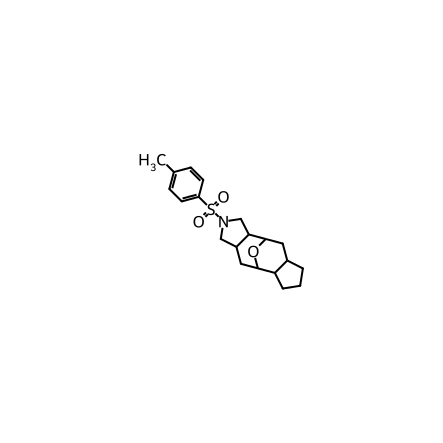 Cc1ccc(S(=O)(=O)N2CC3CC4OC(CC5CCCC54)C3C2)cc1